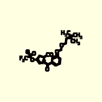 C[Si](C)(C)CCOCOc1cccc(C(=O)N2C=C(OS(=O)(=O)C(F)(F)F)CC2C(=O)O)c1